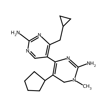 CN1CC(C2CCCC2)=C(c2cnc(N)nc2CC2CC2)N=C1N